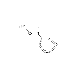 CCCON(C)c1ccccc1